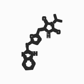 CC(C)N1C(=O)N/C(=C\c2ccc(Sc3nc4ccccc4[nH]3)o2)C1=O